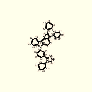 c1ccc(-c2oc3c(ccc4c3c3ccccc3n4-c3cccc(-c4nncn4-c4ccccc4)c3)c2-c2ccccc2)cc1